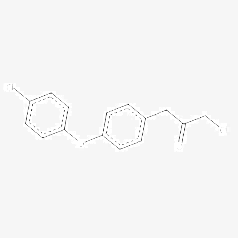 O=C(CCl)Cc1ccc(Oc2ccc(Cl)cc2)cc1